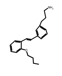 CCCCOc1ccccc1C=Cc1cccc(CCCN)c1